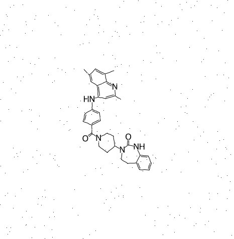 Cc1cc(C)c2nc(C)cc(Nc3ccc(C(=O)N4CCC(N5CCc6ccccc6NC5=O)CC4)cc3)c2c1